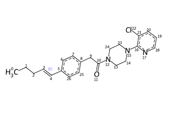 CCC/C=C/c1ccc(CC(=O)N2CCN(c3ncccc3Cl)CC2)cc1